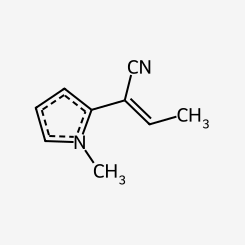 C/C=C(\C#N)c1cccn1C